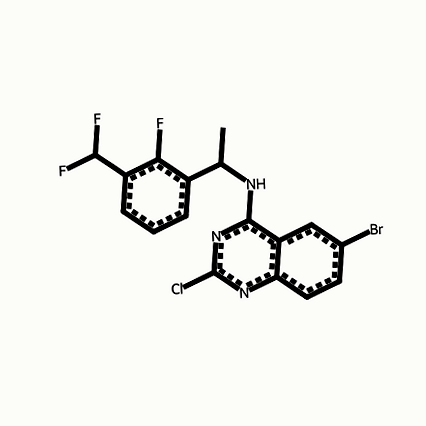 CC(Nc1nc(Cl)nc2ccc(Br)cc12)c1cccc(C(F)F)c1F